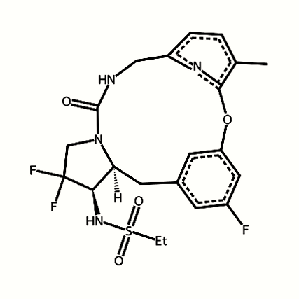 CCS(=O)(=O)N[C@@H]1[C@@H]2Cc3cc(F)cc(c3)Oc3nc(ccc3C)CNC(=O)N2CC1(F)F